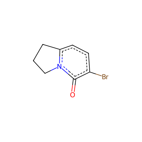 O=c1c(Br)ccc2n1CCC2